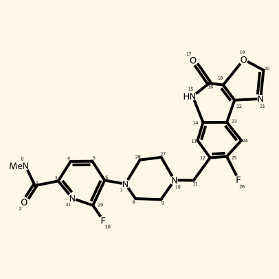 CNC(=O)c1ccc(N2CCN(Cc3cc4[nH]c(=O)c5ocnc5c4cc3F)CC2)c(F)n1